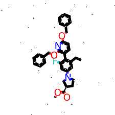 CCc1cc(N2CC[C@@H](C(=O)OC)C2)cc(F)c1-c1ccc(OCc2ccccc2)nc1OCc1ccccc1